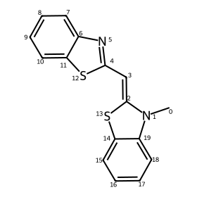 CN1/C(=C/c2nc3ccccc3s2)Sc2ccccc21